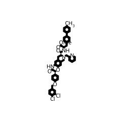 COC(=O)C(Cc1ccc(-c2ccc(C)cc2)cc1)NC(=O)[C@@H]1Cc2cc3c(cc2CN1Cc1ccccn1)O[C@@H](c1ccc(OCc2ccc(Cl)c(Cl)c2)cc1)C(=O)N3